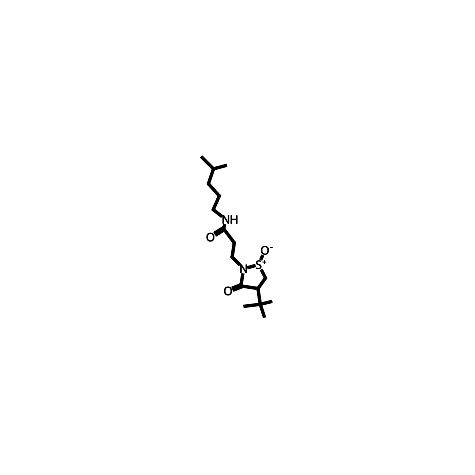 CC(C)CCCNC(=O)CCN1C(=O)C(C(C)(C)C)C[S+]1[O-]